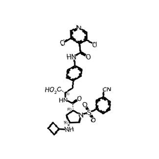 N#Cc1cccc(S(=O)(=O)N2C[C@H](NC3CCC3)C[C@@H]2C(=O)N[C@@H](Cc2ccc(NC(=O)c3c(Cl)cncc3Cl)cc2)C(=O)O)c1